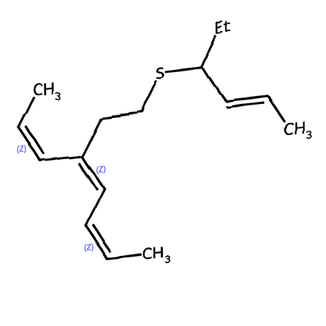 CC=CC(CC)SCCC(/C=C\C)=C/C=C\C